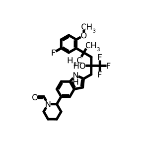 COc1ccc(F)cc1C(C)(C)CC(O)(Cc1cc2cc(C3CCCCN3C=O)ccc2[nH]1)C(F)(F)F